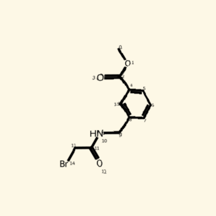 COC(=O)c1cccc(CNC(=O)CBr)c1